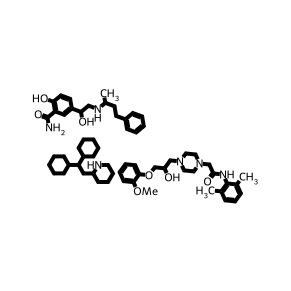 C1CCC(C(CC2CCCCN2)C2CCCCC2)CC1.CC(CCc1ccccc1)NCC(O)c1ccc(O)c(C(N)=O)c1.COc1ccccc1OCC(O)CN1CCN(CC(=O)Nc2c(C)cccc2C)CC1